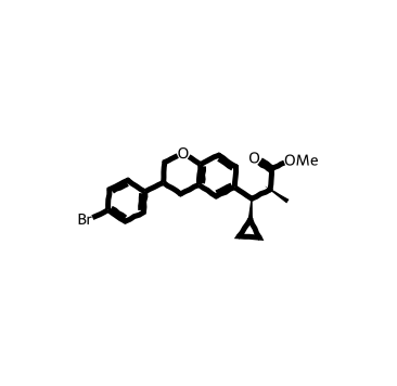 COC(=O)[C@@H](C)[C@H](c1ccc2c(c1)CC(c1ccc(Br)cc1)CO2)C1CC1